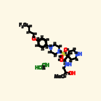 COC(O)CNC(=O)C1(S(=O)(=O)N2CCN(c3ccc(OCCCC(F)(F)F)cc3)CC2)CCNCC1.Cl.Cl